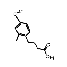 Cc1cc(OCl)ccc1CCCC(=O)O